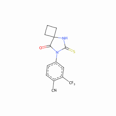 N#Cc1ccc(N2C(=O)C3(CCC3)NC2=S)cc1C(F)(F)F